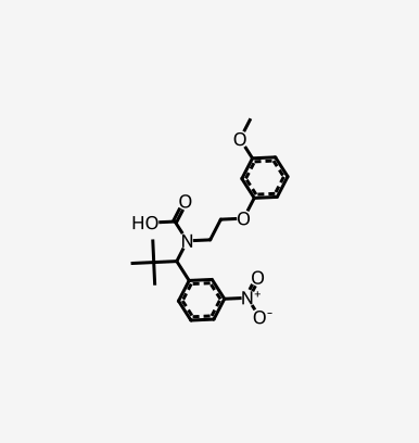 COc1cccc(OCCN(C(=O)O)C(c2cccc([N+](=O)[O-])c2)C(C)(C)C)c1